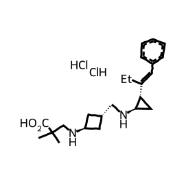 CC/C(=C\c1ccccc1)[C@@H]1C[C@H]1NC[C@H]1C[C@H](NCC(C)(C)C(=O)O)C1.Cl.Cl